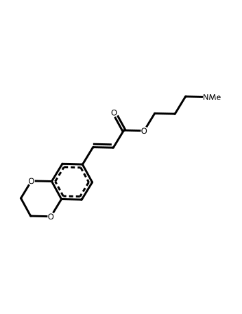 CNCCCOC(=O)/C=C/c1ccc2c(c1)OCCO2